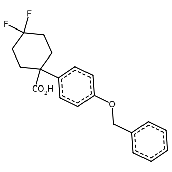 O=C(O)C1(c2ccc(OCc3ccccc3)cc2)CCC(F)(F)CC1